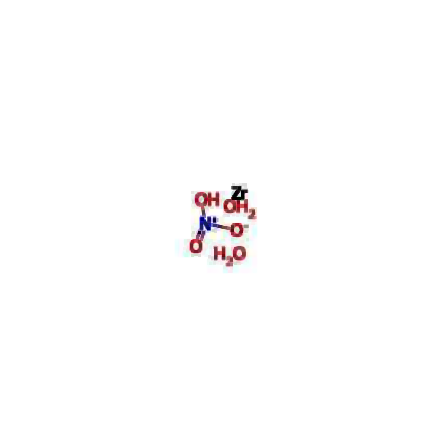 O.O.O=[N+]([O-])O.[Zr]